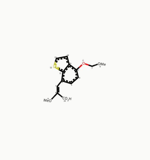 COCOc1ccc(/C=C(/OC)C(=O)O)c2sccc12